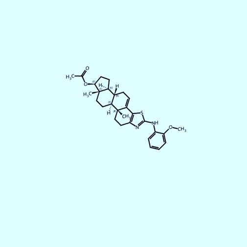 COc1ccccc1Nc1nc2c(s1)C1=CC[C@H]3[C@@H]4CC[C@H](OC(C)=O)[C@@]4(C)CC[C@@H]3[C@@]1(C)CC2